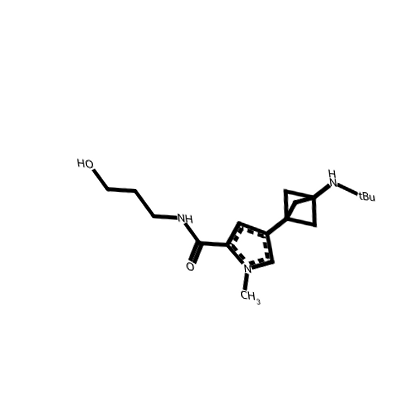 Cn1cc(C23CC(NC(C)(C)C)(C2)C3)cc1C(=O)NCCCO